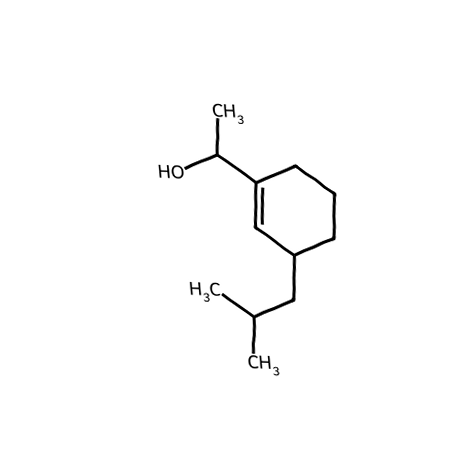 CC(C)CC1C=C(C(C)O)CCC1